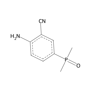 CP(C)(=O)c1ccc(N)c(C#N)c1